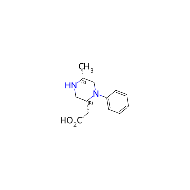 C[C@@H]1CN(c2ccccc2)[C@H](CC(=O)O)CN1